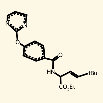 CCOC(=O)C(/C=C/C(C)(C)C)NC(=O)c1ccc(Oc2ncccn2)cc1